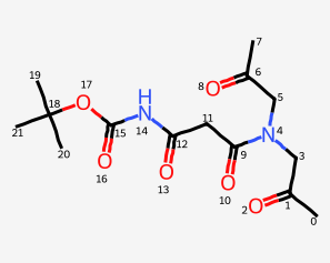 CC(=O)CN(CC(C)=O)C(=O)CC(=O)NC(=O)OC(C)(C)C